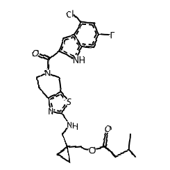 CC(C)CC(=O)OCC1(CNc2nc3c(s2)CN(C(=O)c2cc4c(Cl)cc(F)cc4[nH]2)CC3)CC1